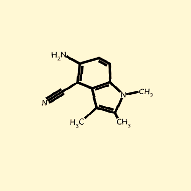 Cc1c(C)n(C)c2ccc(N)c(C#N)c12